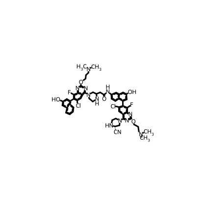 CN(C)CCCOc1nc(N2CCNC(CC(=O)Nc3ccc4c(-c5c(Cl)cc6c(N7CCN[C@@H](C#N)C7)nc(OCCCN(C)C)nc6c5F)cc(O)cc4c3)C2)c2cc(Cl)c(-c3cc(O)cc4ccccc34)c(F)c2n1